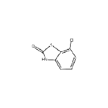 O=c1[nH]c2cccc(Cl)c2s1